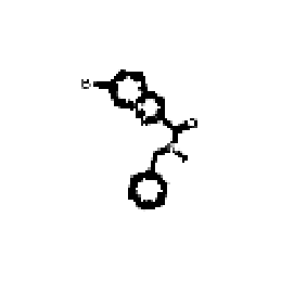 CN(Cc1ccccc1)C(=O)c1cc2ccc(Br)cn2n1